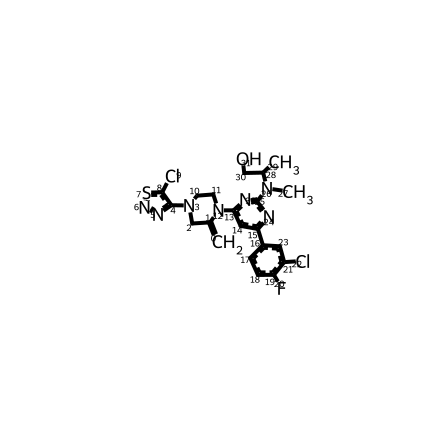 C=C1CN(c2nnsc2Cl)CCN1c1cc(-c2ccc(F)c(Cl)c2)nc(N(C)C(C)CO)n1